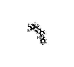 Cc1[nH]c(=O)c(C(=O)N(CC2CCN(CC3(O)CCOCC3)CC2)C(C)C)cc1Br